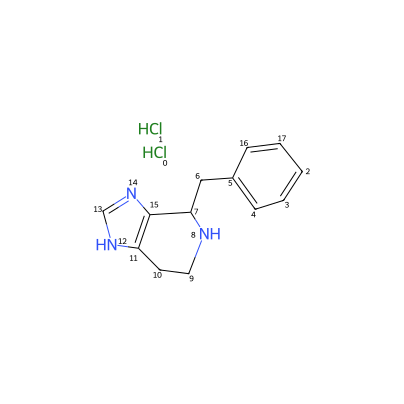 Cl.Cl.c1ccc(CC2NCCc3[nH]cnc32)cc1